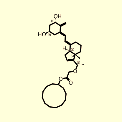 C=C1C(=CC=C2CCC[C@]3(C)C([C@H](C)OCC(=O)OC4CCCCCCCCCCC4)=CC[C@@H]23)C[C@@H](O)C[C@@H]1O